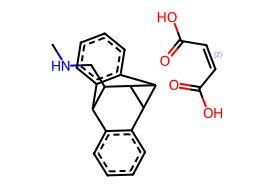 CNCC1C2c3ccccc3C3C(c4ccccc42)C13.O=C(O)/C=C\C(=O)O